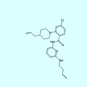 C=CCCNc1cccc(NC(=O)c2ccc(Cl)cc2N2CCC(CC=C)CC2)n1